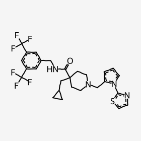 O=C(NCc1cc(C(F)(F)F)cc(C(F)(F)F)c1)C1(CC2CC2)CCN(Cc2cccn2-c2nccs2)CC1